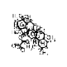 C[C@@H]1[C@H]2[C@H]3CC[C@@H]4[C@]5(C)[C@@H](CC[C@@]4(C)[C@]3(C)CC[C@@]2(C)CC[C@H]1C)C(C)(C)CCC5(O)C(=O)OC(=O)C(Cl)Cl